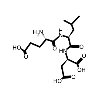 CC(C)C[C@H](NC(=O)[C@@H](N)CCC(=O)O)C(=O)N[C@H](CC(=O)O)C(=O)O